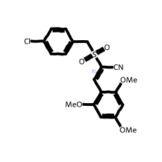 COc1cc(OC)c(/C=C(\C#N)S(=O)(=O)Cc2ccc(Cl)cc2)c(OC)c1